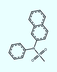 CS(=O)(=O)N(c1ccccc1)c1ccc2ccccc2c1